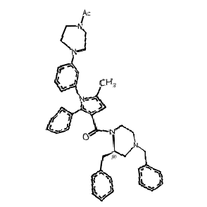 CC(=O)N1CCN(c2cccc(-n3c(C)cc(C(=O)N4CCN(Cc5ccccc5)C[C@H]4Cc4ccccc4)c3-c3ccccc3)c2)CC1